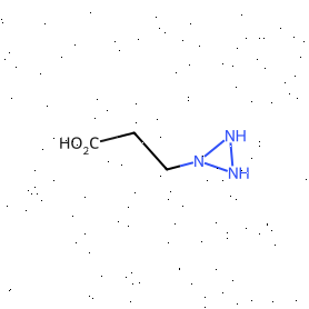 O=C(O)CCn1[nH][nH]1